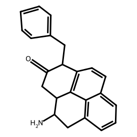 NC1Cc2cccc3ccc4c(c23)C1CC(=O)C4Cc1ccccc1